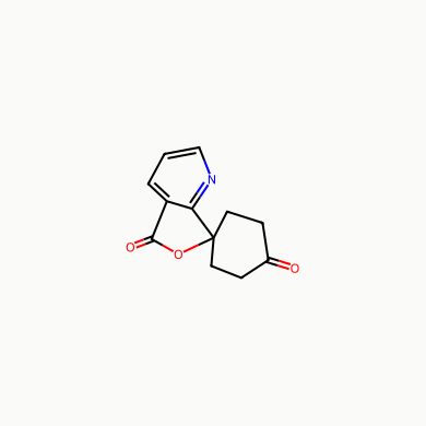 O=C1CCC2(CC1)OC(=O)c1cccnc12